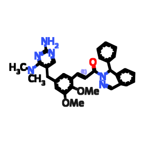 COc1cc(Cc2cnc(N)nc2N(C)C)cc(/C=C/C(=O)N2N=Cc3ccccc3C2c2ccccc2)c1OC